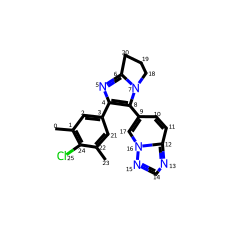 Cc1cc(-c2nc3n(c2-c2ccc4ncnn4c2)CCC3)cc(C)c1Cl